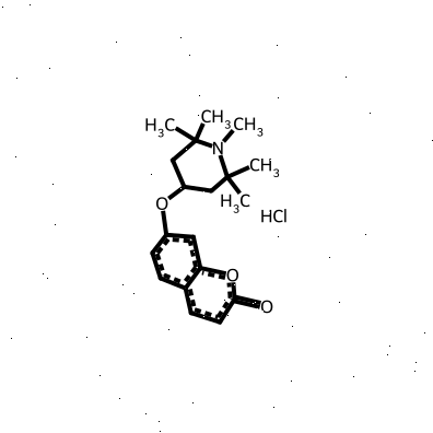 CN1C(C)(C)CC(Oc2ccc3ccc(=O)oc3c2)CC1(C)C.Cl